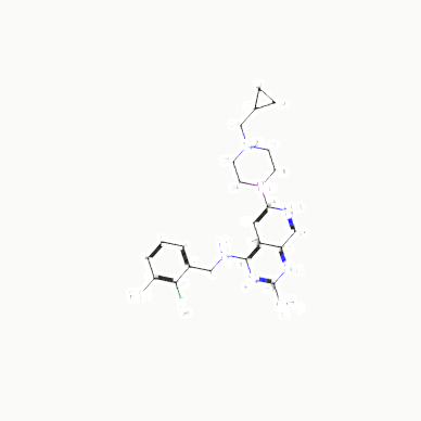 CCc1cccc(CNc2nc(C)nc3cnc(P4CCN(CC5CC5)CC4)cc23)c1F